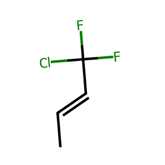 CC=CC(F)(F)Cl